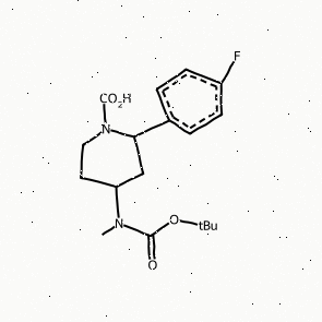 CN(C(=O)OC(C)(C)C)C1CCN(C(=O)O)C(c2ccc(F)cc2)C1